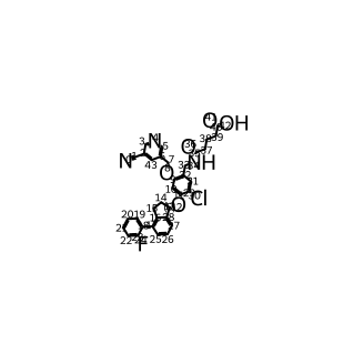 N#Cc1cncc(COc2cc(O[C@H]3CCc4c(-c5ccccc5F)cccc43)c(Cl)cc2CNC(=O)CCCC(=O)O)c1